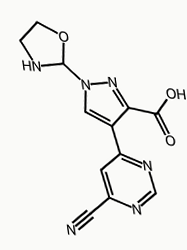 N#Cc1cc(-c2cn(C3NCCO3)nc2C(=O)O)ncn1